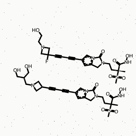 CC(CCN1Cc2cc(C#CC#CC3CN(CC(CO)CO)C3)cn2C1=O)(C(=O)NO)S(C)(=O)=O.C[C@@](CCN1Cc2cc(C#CC#CC3(F)CN(CCO)C3)cn2C1=O)(C(=O)NO)S(C)(=O)=O